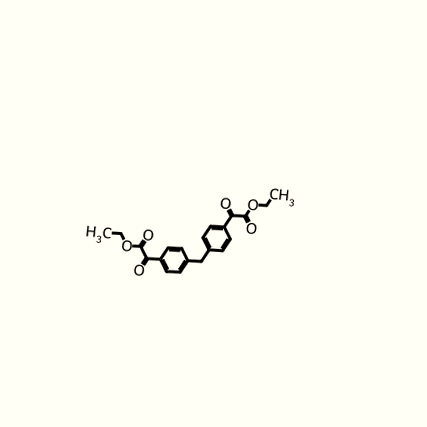 CCOC(=O)C(=O)c1ccc(Cc2ccc(C(=O)C(=O)OCC)cc2)cc1